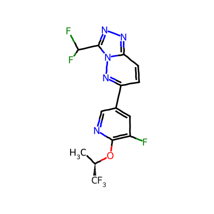 C[C@@H](Oc1ncc(-c2ccc3nnc(C(F)F)n3n2)cc1F)C(F)(F)F